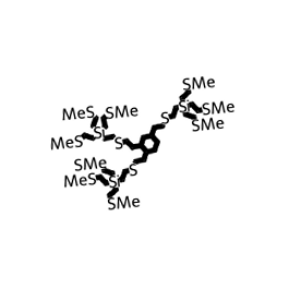 CSCC[Si](CCSC)(CCSC)CCSCCC1CCC(CCSCC[Si](CCSC)(CCSC)CCSC)C(CCSCC[Si](CCSC)(CCSC)CCSC)C1